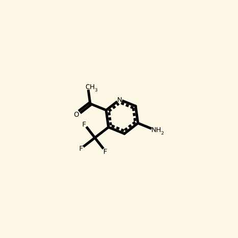 CC(=O)c1ncc(N)cc1C(F)(F)F